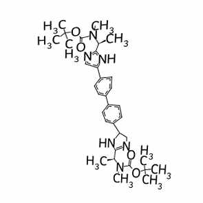 C[C@@H](C1=NCC(c2ccc(-c3ccc(-c4cnc([C@H](C)N(C)C(=O)OC(C)(C)C)[nH]4)cc3)cc2)N1)N(C)C(=O)OC(C)(C)C